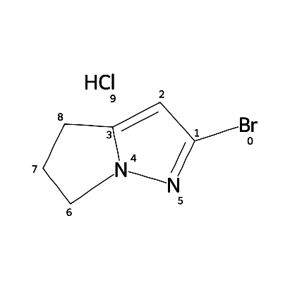 Brc1cc2n(n1)CCC2.Cl